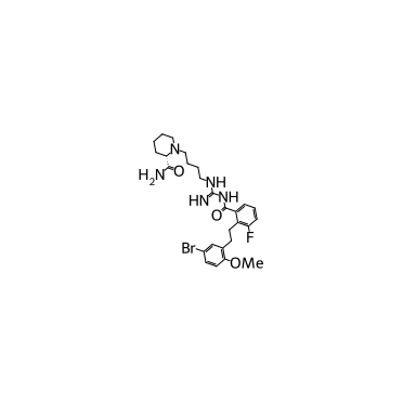 COc1ccc(Br)cc1CCc1c(F)cccc1C(=O)NC(=N)NCCCCN1CCCC[C@H]1C(N)=O